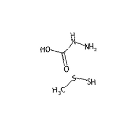 CSS.NNC(=O)O